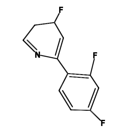 Fc1ccc(C2=CC(F)CC=N2)c(F)c1